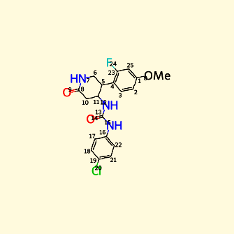 COc1ccc(C2CNC(=O)CC2NC(=O)Nc2ccc(Cl)cc2)c(F)c1